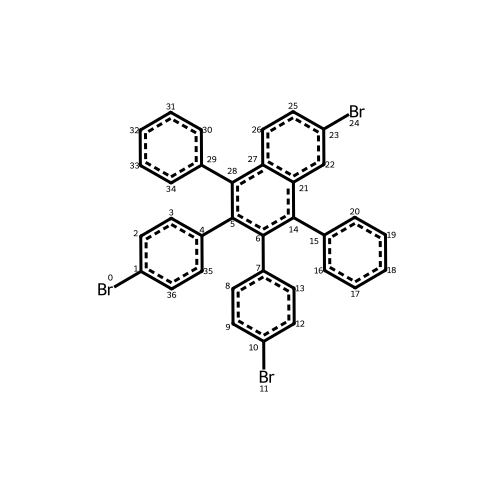 Brc1ccc(-c2c(-c3ccc(Br)cc3)c(-c3ccccc3)c3cc(Br)ccc3c2-c2ccccc2)cc1